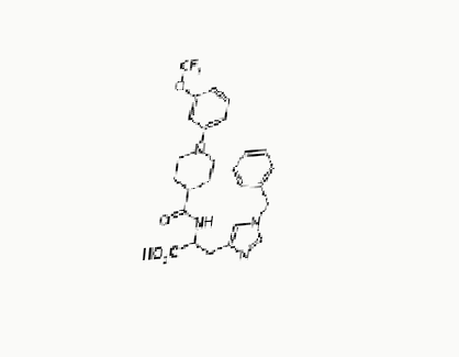 O=C(NC(Cc1cn(Cc2ccccc2)cn1)C(=O)O)C1CCN(c2cccc(OC(F)(F)F)c2)CC1